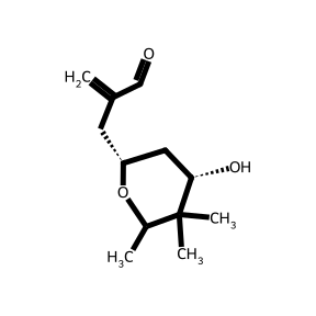 C=C(C=O)C[C@@H]1C[C@H](O)C(C)(C)C(C)O1